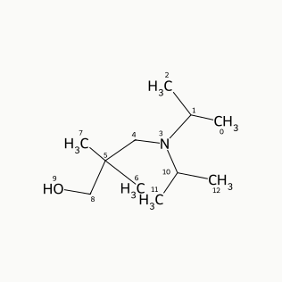 CC(C)N(CC(C)(C)CO)C(C)C